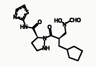 O=CN(O)C[C@@H](CC1CCCC1)C(=O)N1NCC[C@H]1C(=O)Nc1nccs1